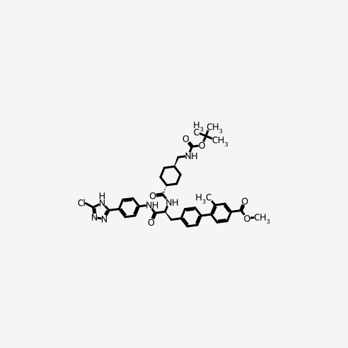 COC(=O)c1ccc(-c2ccc(C[C@H](NC(=O)[C@H]3CC[C@H](CNC(=O)OC(C)(C)C)CC3)C(=O)Nc3ccc(-c4nnc(Cl)[nH]4)cc3)cc2)c(C)c1